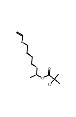 C=COCCCCOC(C)OC(=O)C(C)(C)CC